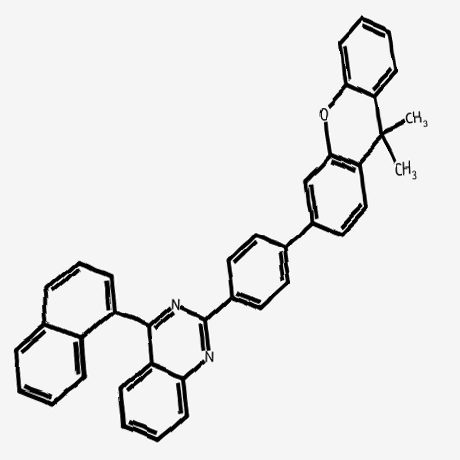 CC1(C)c2ccccc2Oc2cc(-c3ccc(-c4nc(-c5cccc6ccccc56)c5ccccc5n4)cc3)ccc21